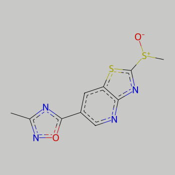 Cc1noc(-c2cnc3nc([S+](C)[O-])sc3c2)n1